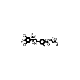 CSC1=NOC(NC(=O)c2ccc(C3=NO[C@@](c4cc(Cl)c(SC)c(Cl)c4)(C(F)(F)F)C3)cc2C)C1